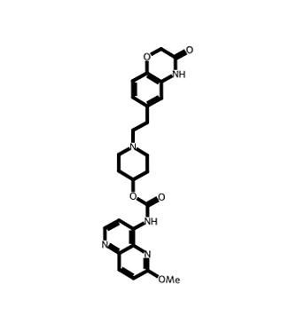 COc1ccc2nccc(NC(=O)OC3CCN(CCc4ccc5c(c4)NC(=O)CO5)CC3)c2n1